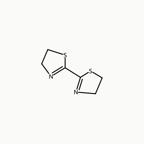 C1CSC(C2=NCCS2)=N1